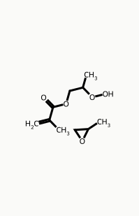 C=C(C)C(=O)OCC(C)OO.CC1CO1